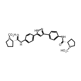 O=C(Nc1ccc(-c2cc(-c3ccc(NC(=O)[C@@H]4CCCN4C(=O)O)cc3)[nH]n2)cc1)[C@@H]1CCCN1C(=O)O